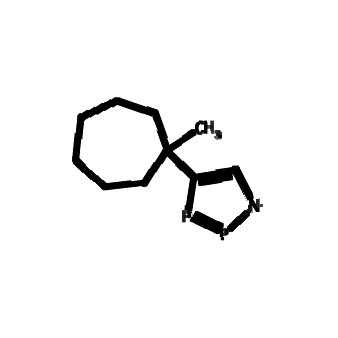 CC1(C2=C[N]P=P2)CCCCCC1